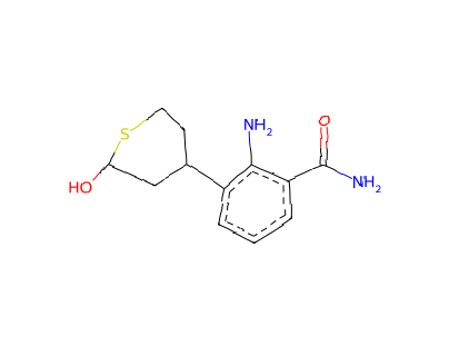 NC(=O)c1cccc(C2CCSC(O)C2)c1N